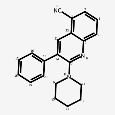 N#Cc1cccc2nc(N3CCCCC3)c(-c3ccccc3)cc12